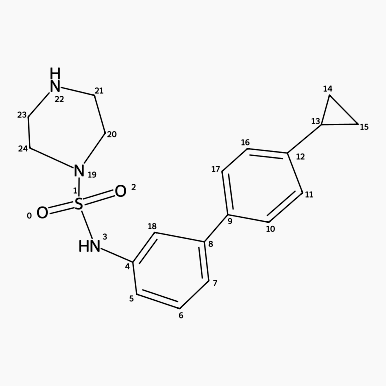 O=S(=O)(Nc1cccc(-c2ccc(C3CC3)cc2)c1)N1CCNCC1